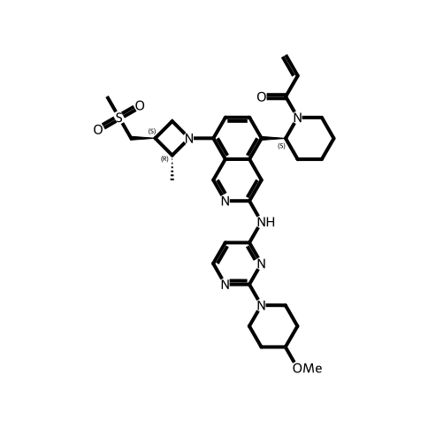 C=CC(=O)N1CCCC[C@H]1c1ccc(N2C[C@H](CS(C)(=O)=O)[C@H]2C)c2cnc(Nc3ccnc(N4CCC(OC)CC4)n3)cc12